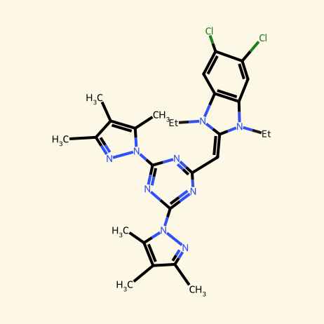 CCN1C(=Cc2nc(-n3nc(C)c(C)c3C)nc(-n3nc(C)c(C)c3C)n2)N(CC)c2cc(Cl)c(Cl)cc21